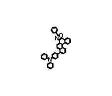 c1ccc(-c2nc3c4ccc5c(-c6ccc(N(c7ccccc7)c7ccccc7)cc6)cccc5c4c4ccccc4c3o2)cc1